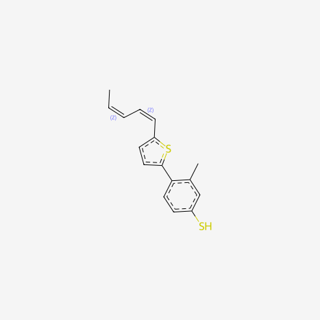 C/C=C\C=C/c1ccc(-c2ccc(S)cc2C)s1